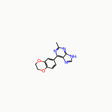 Cc1nc(-c2ccc3c(c2)OCCO3)c2nc[nH]c2n1